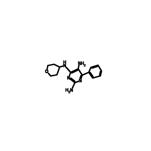 Nc1nc(NC2CCOCC2)c(N)c(-c2ccccc2)n1